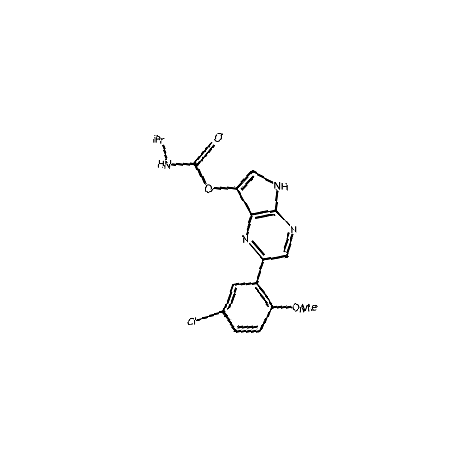 COc1ccc(Cl)cc1-c1cnc2[nH]cc(OC(=O)NC(C)C)c2n1